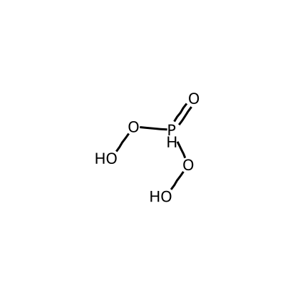 O=[PH](OO)OO